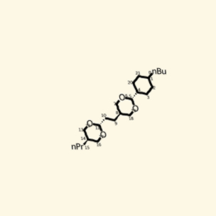 CCCCC1CCC([C@H]2OC[C@H](CC[C@H]3OC[C@H](CCC)CO3)CO2)CC1